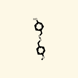 COc1ccc(CSSCc2ccc(O)cc2)cc1